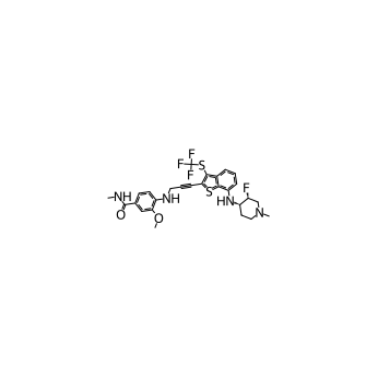 CNC(=O)c1ccc(NCC#Cc2sc3c(N[C@@H]4CCN(C)C[C@@H]4F)cccc3c2SC(F)(F)F)c(OC)c1